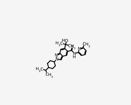 Cc1cccc(NC(=S)c2cc3cn(C4CCC(C(C)C)CC4)nc3cc2C(C)(C)O)n1